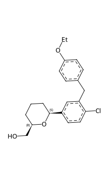 CCOc1ccc(Cc2cc([C@@H]3CCC[C@H](CO)O3)ccc2Cl)cc1